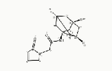 O=C(CN1CC=CC1=O)N[C@@]12C[C@@H]3C[C@@H](C[C@H](C3)N1)C2